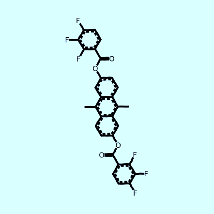 Cc1c2ccc(OC(=O)c3ccc(F)c(F)c3F)cc2c(C)c2ccc(OC(=O)c3ccc(F)c(F)c3F)cc12